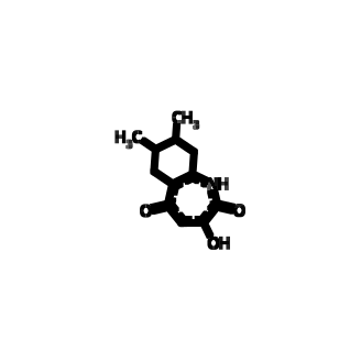 CC1Cc2[nH]c(=O)c(O)cc(=O)c2CC1C